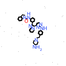 NC1CCN(CCc2ccc(Nc3nccc(-c4c(-c5cccc(NC(=O)N6CCc7ccccc76)c5)nc5ccccn45)n3)cc2)CC1